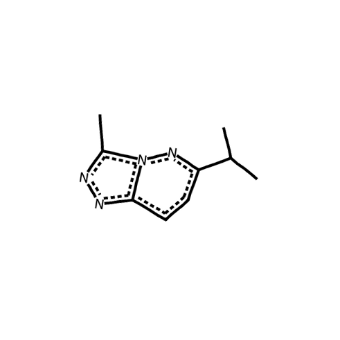 Cc1nnc2ccc(C(C)C)nn12